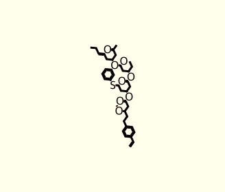 C=Cc1ccc(CCC(CC(=O)OC(CCSc2ccccc2)CC(=O)OC(CC)CC(=O)OC(CC=CCC)CC(C)=O)OC)cc1